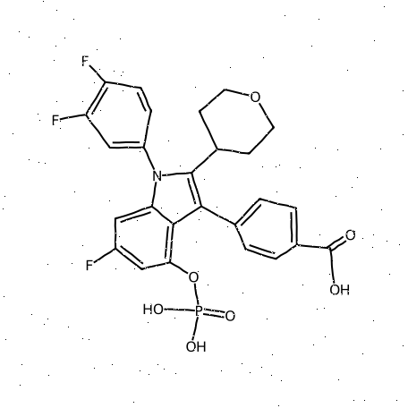 O=C(O)c1ccc(-c2c(C3CCOCC3)n(-c3ccc(F)c(F)c3)c3cc(F)cc(OP(=O)(O)O)c23)cc1